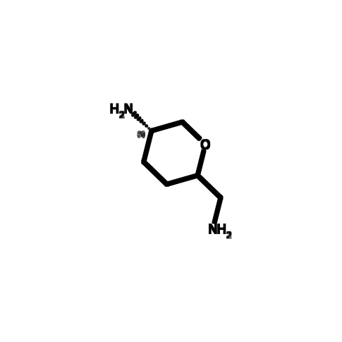 NCC1CC[C@H](N)CO1